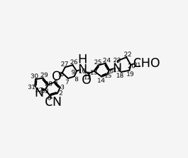 N#Cc1ccc(OC2CCC(NC(=O)c3ccc(N4CCC(C=O)CC4)cc3)CC2)c2cccnc12